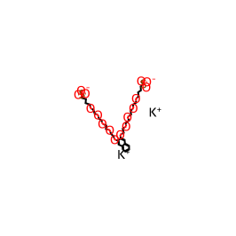 O=S(=O)([O-])CCCCOCCOCCOCCOCCOc1cc2ccccc2cc1OCCOCCOCCOCCOCCCCS(=O)(=O)[O-].[K+].[K+]